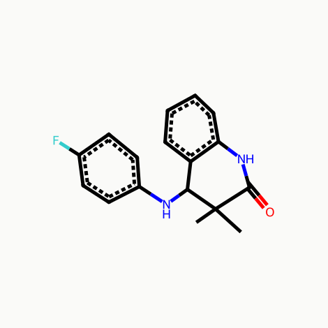 CC1(C)C(=O)Nc2ccccc2C1Nc1ccc(F)cc1